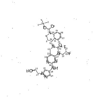 CC(C)(C)OC(=O)N1CC[C@@H](N2Cc3cnc(Nc4cnn(CCO)c4)nc3N(CC(F)F)C2=O)c2ccccc21